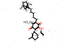 C=C(C)[C@@H]1CCC(C)=C[C@H]1C1=C(O)C(=O)C(CCCCCC2C[C@@H]3CC[C@@]2(C)C3(C)C)=C(C(=O)O)C1=O